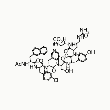 CC(=O)N[C@H](Cc1ccc2ccccc2c1)C(=O)N[C@H](Cc1ccc(Cl)cc1)C(=O)N[C@H](Cc1cccnc1)C(=O)N[C@@H](CO)C(=O)N[C@@H](Cc1ccc(O)cc1)C(=O)N[C@H](CCCNC(N)=O)C(=O)N[C@@H](CC(C)C)C(=O)O